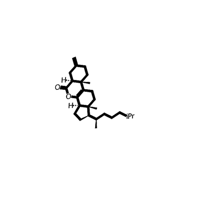 C=C1CC[C@]2(C)C3=C(OC(=O)[C@H]2C1)[C@@H]1CC[C@H]([C@H](C)CCCC(C)C)[C@@]1(C)CC3